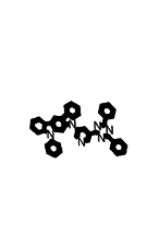 C1=CC2c3cc4c5ccccc5n(-c5cncc(-c6nc(-c7ccccc7)nc(-c7ccccc7)n6)c5)c4cc3N(c3ccccc3)C2C=C1